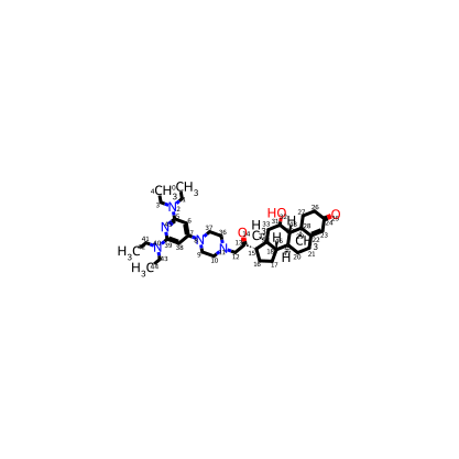 CCN(CC)c1cc(N2CCN(CC(=O)[C@H]3CC[C@H]4[C@@H]5CCC6=CC(=O)CC[C@]6(C)[C@H]5C(O)C[C@]34C)CC2)cc(N(CC)CC)n1